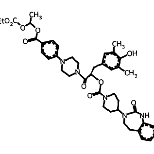 CCOC(=O)OC(C)OC(=O)c1ccc(N2CCN(C(=O)[C@@H](Cc3cc(C)c(O)c(C)c3)OC(=O)N3CCC(N4CCc5ccccc5NC4=O)CC3)CC2)cc1